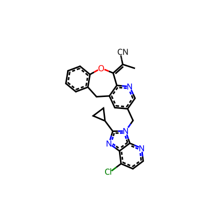 CC(C#N)=C1Oc2ccccc2Cc2cc(Cn3c(C4CC4)nc4c(Cl)ccnc43)cnc21